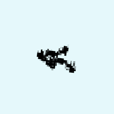 O=C(Cc1ccncc1)NCCc1ccc(S(=O)(=O)NC(=O)Nc2c3c(cc4c2CC(C2Cc5cc6c(c(NC(=O)NS(=O)(=O)c7ccc(CCNC(=O)Cc8ccccn8)cc7)c5C2)CCC6)C4)CCC3)cc1